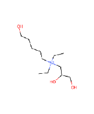 CC[N+](CC)(CCCCCO)CC(O)CO